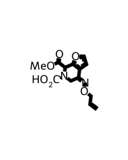 C=CCON=C1CN(C(=O)O)C(C(=O)OC)c2occc21